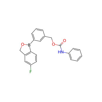 O=C(Nc1ccccc1)OCc1cccc(B2OCc3cc(F)ccc32)c1